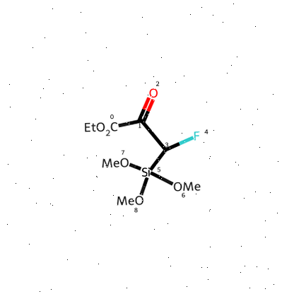 CCOC(=O)C(=O)C(F)[Si](OC)(OC)OC